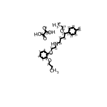 CCCOc1ccccc1OCCNCCCC(OCC)c1ccc(F)cc1.O=C(O)C(=O)O